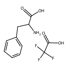 NC(Cc1ccccc1)C(=O)O.O=C(O)C(F)(F)F